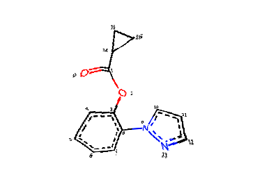 O=C(Oc1ccc[c]c1-n1cccn1)C1CC1